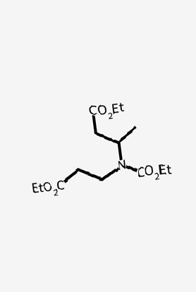 CCOC(=O)CCN(C(=O)OCC)C(C)CC(=O)OCC